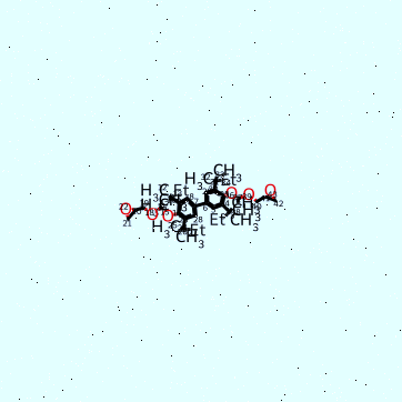 CCC(C)(C)c1cc(-c2cc(C(C)(C)CC)c(OC(C)OCC3CO3)c(C(C)(C)CC)c2)cc(C(C)(C)CC)c1OC(C)OCC1CO1